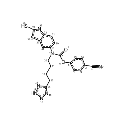 N#Cc1ccc(OC(=O)N(CCCCc2nn[nH]n2)c2ccc3nc(S)sc3c2)cc1